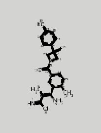 C/C(C(=N)Cl)=C(/N)c1cc(C(=O)N2CC(F)(c3ccc(C#N)cc3)C2)ccc1C